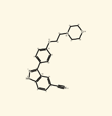 N#Cc1ccc2[nH]nc(-c3ccc(OCCN4CCOCC4)cc3)c2c1